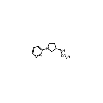 O=C(O)N[C@@H]1CCN(c2cccnn2)C1